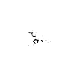 CC(=O)NC(C(O)C(O)CO)[C@@H]1CC(C(=O)O)C[C@@H]1NC(=O)OC(C)(C)C